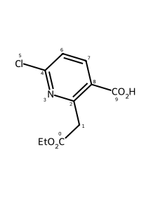 CCOC(=O)Cc1nc(Cl)ccc1C(=O)O